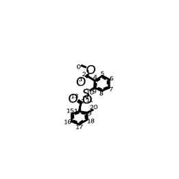 COC(=O)c1ccccc1SOC(=O)c1ccccc1C